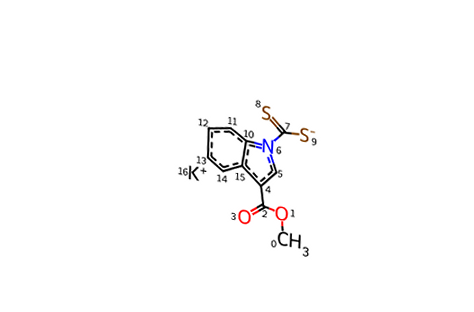 COC(=O)c1cn(C(=S)[S-])c2ccccc12.[K+]